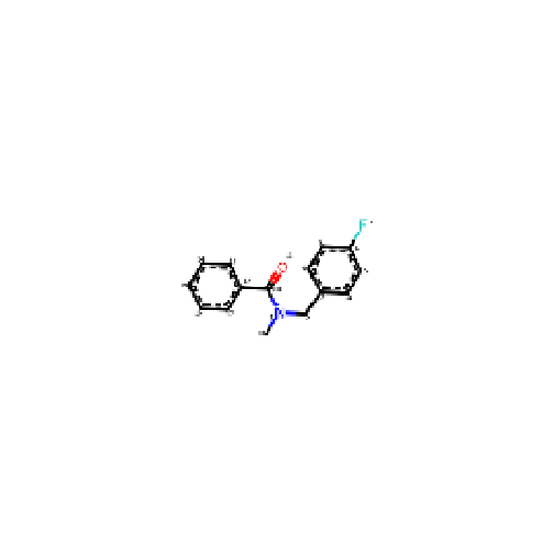 CN(Cc1ccc(F)cc1)C(=O)c1ccccc1